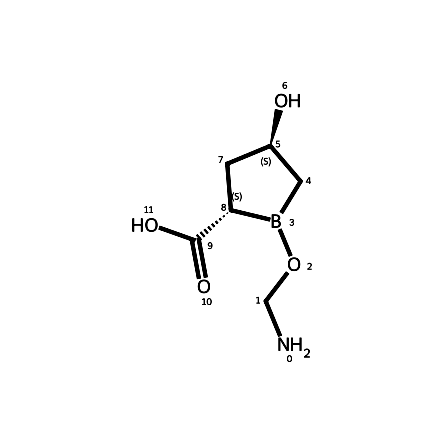 NCOB1C[C@H](O)C[C@H]1C(=O)O